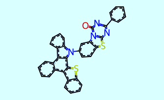 O=c1nc(-c2ccccc2)nc2sc3ccc(-n4c5ccccc5c5c6ccccc6c6c7ccccc7sc6c54)cc3n12